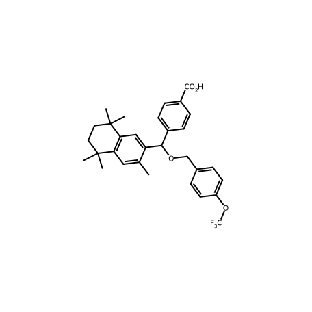 Cc1cc2c(cc1C(OCc1ccc(OC(F)(F)F)cc1)c1ccc(C(=O)O)cc1)C(C)(C)CCC2(C)C